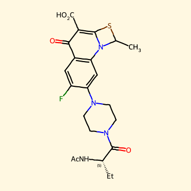 CC[C@H](NC(C)=O)C(=O)N1CCN(c2cc3c(cc2F)c(=O)c(C(=O)O)c2n3C(C)S2)CC1